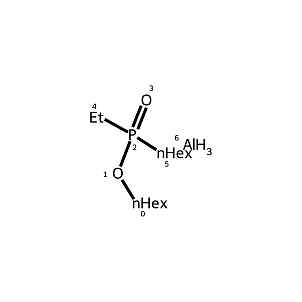 CCCCCCOP(=O)(CC)CCCCCC.[AlH3]